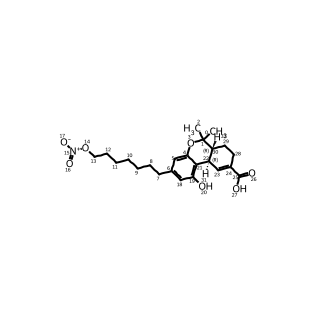 CC1(C)Oc2cc(CCCCCCCO[N+](=O)[O-])cc(O)c2[C@@H]2C=C(C(=O)O)CC[C@H]21